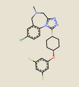 CN1Cc2cc(Cl)ccc2-n2c(nnc2[C@H]2CC[C@H](Oc3cc(F)cc(F)c3)CC2)C1